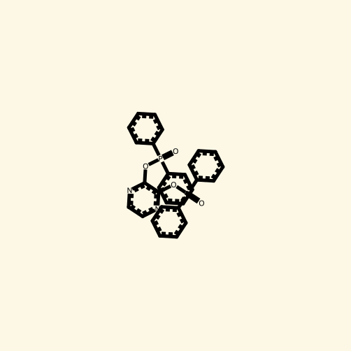 O=P(Oc1nccnc1OP(=O)(c1ccccc1)c1ccccc1)(c1ccccc1)c1ccccc1